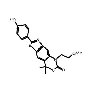 COCCN1C(=O)OC(C)(C)c2cc3[nH]c(-c4ccc(O)cc4)nc3cc21